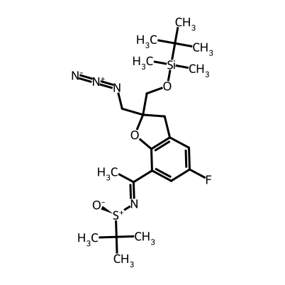 C/C(=N\[S@+]([O-])C(C)(C)C)c1cc(F)cc2c1OC(CN=[N+]=[N-])(CO[Si](C)(C)C(C)(C)C)C2